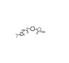 CC(C)c1cnc(NC(=O)[C@H](C)c2ccc(N3CC[C@@H](O)C3=O)cc2)s1